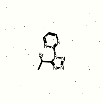 CC(Br)c1nnnn1-c1ncccn1